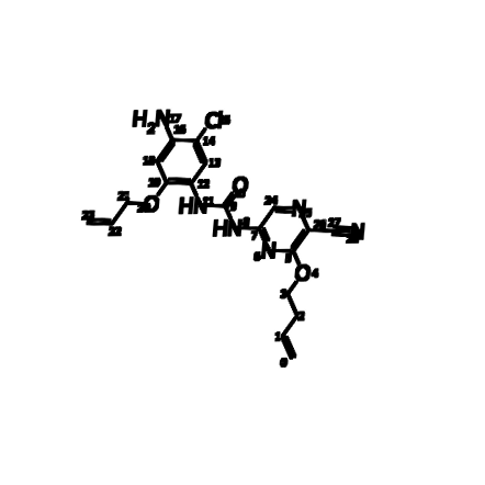 C=CCCOc1nc(NC(=O)Nc2cc(Cl)c(N)cc2OCC=C)cnc1C#N